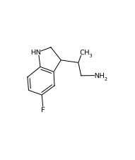 CC(CN)C1CNc2ccc(F)cc21